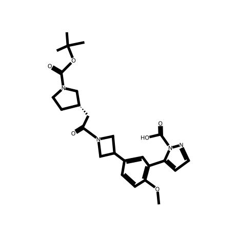 COc1ccc(C2CN(C(=O)C[C@@H]3CCN(C(=O)OC(C)(C)C)C3)C2)cc1-c1ccnn1C(=O)O